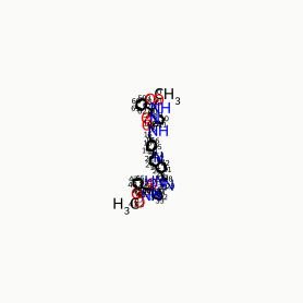 COC(=O)N[C@@H](C(=O)N1CCC[C@H]1C(=O)NCc1ccc(-c2ccc3cc(-c4cnc([C@@H]5CCCN5C(=O)[C@H](NC(=O)OC)c5ccccc5)[nH]4)ccc3n2)cc1)c1ccccc1